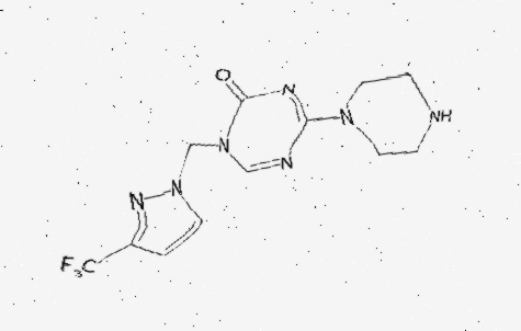 O=c1nc(N2CCNCC2)ncn1Cn1ccc(C(F)(F)F)n1